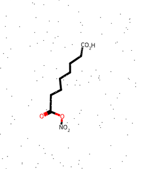 O=C(O)CCCCCCC(=O)O[N+](=O)[O-]